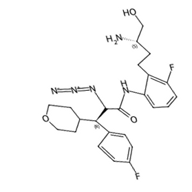 [N-]=[N+]=NC(C(=O)Nc1cccc(F)c1CC[C@H](N)CO)[C@@H](c1ccc(F)cc1)C1CCOCC1